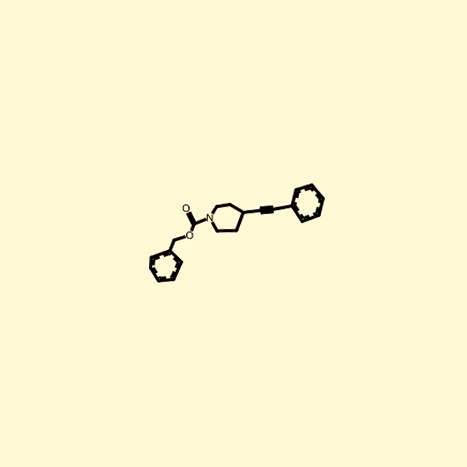 O=C(OCc1ccccc1)N1CCC(C#Cc2ccccc2)CC1